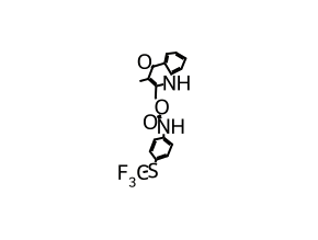 Cc1c(COC(=O)Nc2ccc(SC(F)(F)F)cc2)[nH]c2ccccc2c1=O